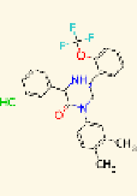 Cc1ccc(N(CCc2ccccc2OC(F)(F)F)C(=O)C(N)c2ccccc2)cc1C.Cl